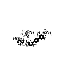 C[Si](C)(C)CCOCn1c(O[C@@H]2CO[C@H]3[C@@H]2OC[C@H]3O)nc2cc(Cl)c(-c3ccc(-c4cc(F)c(N=S(C)(C)=O)cc4F)cc3)nc21